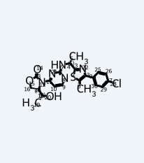 Cc1sc([C@H](C)Nc2nccc(N3C(=O)OC[C@@H]3[C@@H](C)O)n2)nc1-c1ccc(Cl)cc1